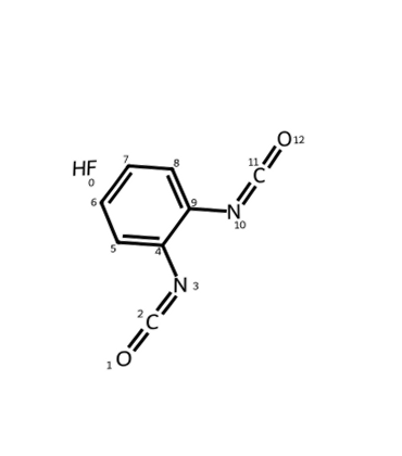 F.O=C=Nc1ccccc1N=C=O